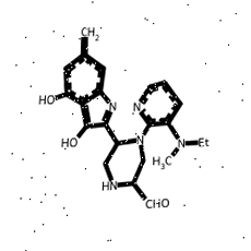 C=c1cc(O)c2c(c1)N=C(C1CNC(C=O)CN1c1ncccc1N(C)CC)C=2O